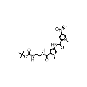 Cn1cc(NC(=O)c2cc([N+](=O)[O-])cn2C)cc1C(=O)NCCNC(=O)OC(C)(C)C